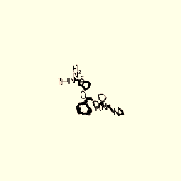 N=C(N)c1cc2c(OC(COC(=O)NCCN3CCCC3)c3ccccc3)cccc2s1